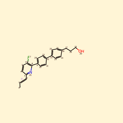 C/C=C/c1ccc(F)c(-c2ccc(-c3ccc(CCCO)cc3)cc2)n1